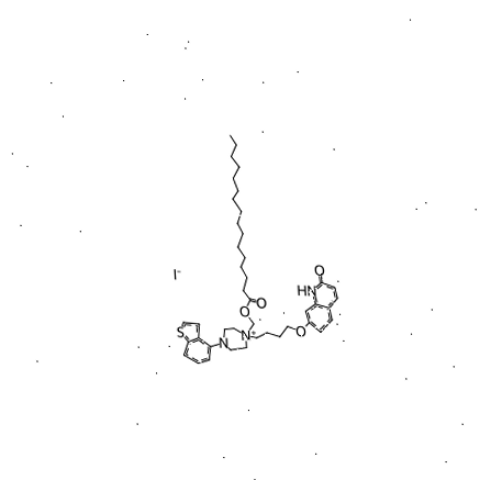 CCCCCCCCCCCCCCCC(=O)OC[N+]1(CCCCOc2ccc3ccc(=O)[nH]c3c2)CCN(c2cccc3sccc23)CC1.[I-]